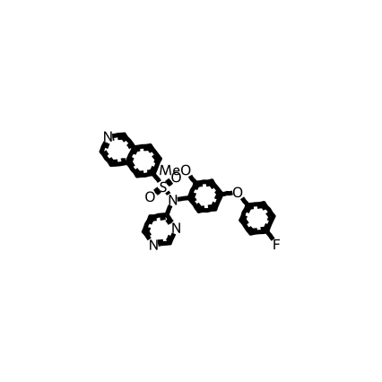 COc1cc(Oc2ccc(F)cc2)ccc1N(c1ccncn1)S(=O)(=O)c1ccc2cnccc2c1